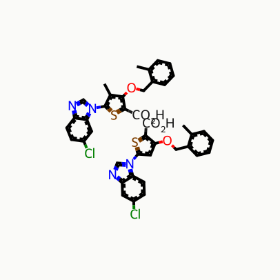 Cc1ccccc1COc1c(C(=O)O)sc(-n2cnc3ccc(Cl)cc32)c1C.Cc1ccccc1COc1cc(-n2cnc3cc(Cl)ccc32)sc1C(=O)O